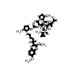 COc1ccc2nc(C(F)(F)CCCC[C@@H]3[C@@H](C)CC[C@H]3OC(=O)N[C@H](C(=O)N3CC[C@@H](C)[C@H]3C(=O)N[C@]3(C(=O)NS(=O)(=O)C4(C)CC4)CC3C(F)F)C(C)(C)C)c(OC)nc2c1